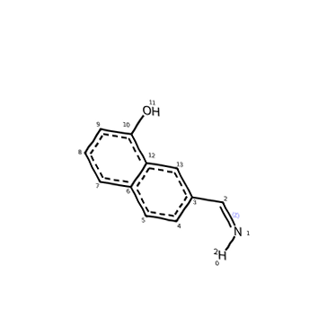 [2H]/N=C\c1ccc2cccc(O)c2c1